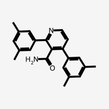 Cc1cc(C)cc(-c2ccnc(-c3cc(C)cc(C)c3)c2C(N)=O)c1